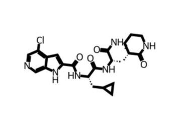 NC(=O)[C@H](C[C@@H]1CCCNC1=O)NC(=O)[C@H](CC1CC1)NC(=O)c1cc2c(Cl)cncc2[nH]1